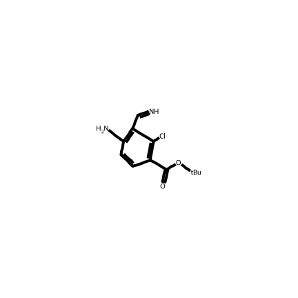 CC(C)(C)OC(=O)c1ccc(N)c(C=N)c1Cl